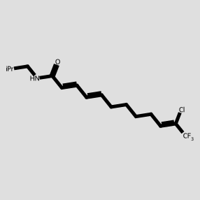 CC(C)CNC(=O)C=CC=CCCCCC=C(Cl)C(F)(F)F